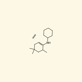 C=C.CC1CC(C)(C)CC=C1NC1CCCCC1